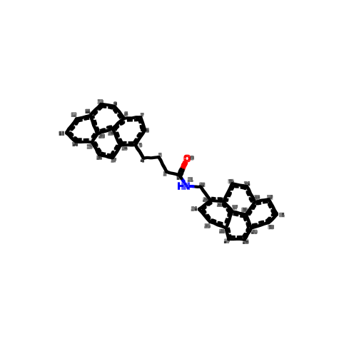 O=C(CCCc1ccc2ccc3cccc4ccc1c2c34)NCc1ccc2ccc3cccc4ccc1c2c34